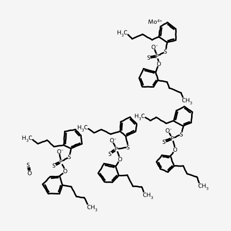 CCCCc1ccccc1OP([O-])(=S)Sc1ccccc1CCCC.CCCCc1ccccc1OP([O-])(=S)Sc1ccccc1CCCC.CCCCc1ccccc1OP([O-])(=S)Sc1ccccc1CCCC.CCCCc1ccccc1OP([O-])(=S)Sc1ccccc1CCCC.O=S.[Mo+4]